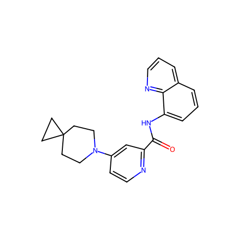 O=C(Nc1cccc2cccnc12)c1cc(N2CCC3(CC2)CC3)ccn1